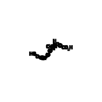 O=C(O)[C@H]1CC[C@H](Oc2nc3nc(-c4ccc(-c5ccc(CN6CCN(CCOCCO)CC6)cc5)cc4)c(Cl)cc3[nH]2)CC1